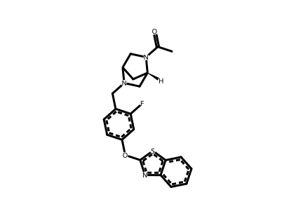 CC(=O)N1CC2C[C@H]1CN2Cc1ccc(Oc2nc3ccccc3s2)cc1F